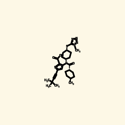 Cn1nnnc1S[C@H]1CC[C@@H](N(c2cc(C#CC(C)(C)C)sc2C(=O)O)C(=O)[C@H]2CC[C@H](C)CC2)CC1